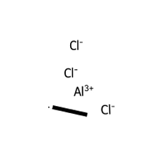 [Al+3].[CH2]C.[Cl-].[Cl-].[Cl-]